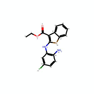 CCOC(=O)c1c(Nc2cc(F)ccc2N)sc2ccccc12